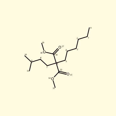 CCCCCCC(CCC(C)C)(C(=O)OC)C(=O)OC